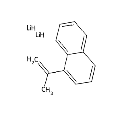 C=C(C)c1cccc2ccccc12.[LiH].[LiH]